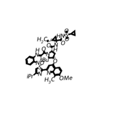 C=C[C@@H]1C[C@]1(NC(=O)[C@@H]1C[C@@H](Oc2cc(-c3nc(C(C)C)cs3)nc3c(C)c(OC)ccc23)CN1C(=O)[C@@H](Nc1ccccc1N=O)C(C)(C)C)C(=O)NS(=O)(=O)C1CC1